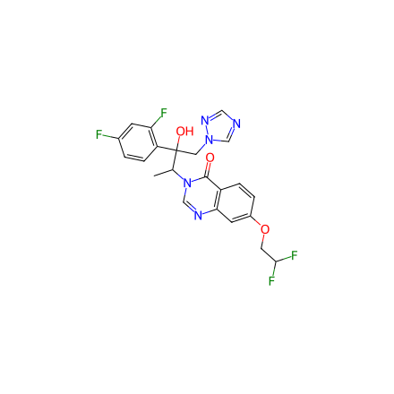 CC(n1cnc2cc(OCC(F)F)ccc2c1=O)C(O)(Cn1cncn1)c1ccc(F)cc1F